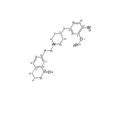 CCCOc1cc(CC2CCN(CCc3ccc4c(c3)C(=O)CCC4)CC2)ccc1Br